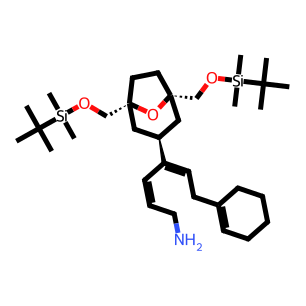 CC(C)(C)[Si](C)(C)OC[C@@]12CC[C@@](CO[Si](C)(C)C(C)(C)C)(C[C@@H](C(/C=C\CN)=C/CC3=CCCCC3)C1)O2